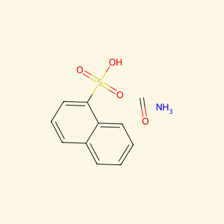 C=O.N.O=S(=O)(O)c1cccc2ccccc12